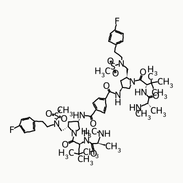 CN[C@@H](C)C(=O)N[C@H](C(=O)N1C[C@@H](NC(=O)c2ccc(C(=O)N[C@H]3C[C@@H](CN(CCc4ccc(F)cc4)S(C)(=O)=O)N(C(=O)[C@@H](NC(=O)[C@H](C)NC)C(C)(C)C)C3)cc2)C[C@H]1CN(CCc1ccc(F)cc1)S(C)(=O)=O)C(C)(C)C